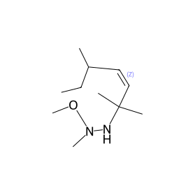 CCC(C)/C=C\C(C)(C)NN(C)OC